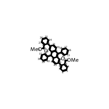 COC(=O)c1ccccc1C1=CC2=C(c3ccccc3)c3ccc(-c4ccccc4C(=O)OC)cc3C(c3ccccc3)C2C=C1